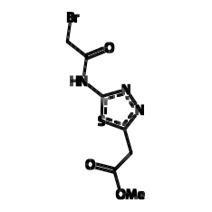 COC(=O)Cc1nnc(NC(=O)CBr)s1